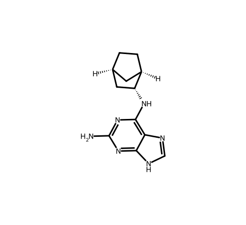 Nc1nc(N[C@@H]2C[C@H]3CC[C@@H]2C3)c2nc[nH]c2n1